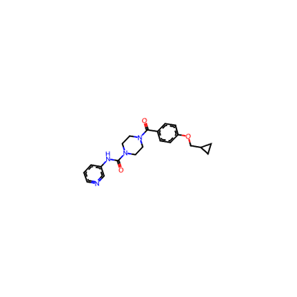 O=C(Nc1cccnc1)N1CCN(C(=O)c2ccc(OCC3CC3)cc2)CC1